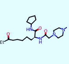 CCC(=O)CCCCC[C@H](NC(=O)CN1CCN(C)CC1)C(=O)NC1CCCC1